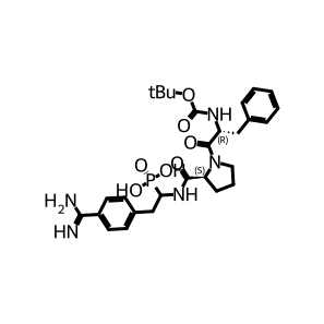 CC(C)(C)OC(=O)N[C@H](Cc1ccccc1)C(=O)N1CCC[C@H]1C(=O)NC(Cc1ccc(C(=N)N)cc1)P(=O)(O)O